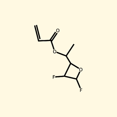 C=CC(=O)OC(C)C1OC(F)C1F